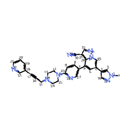 Cn1cc(-c2cc(-c3ccc(N4CCN(CC#Cc5cccnc5)CC4)nc3)c3c(C#N)cnn3c2)cn1